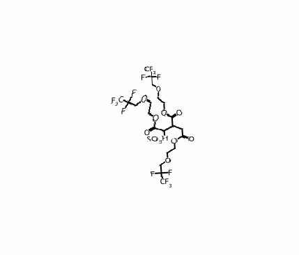 O=C(CC(C(=O)OCCOCC(F)(F)C(F)(F)F)C(C(=O)OCCOCC(F)(F)C(F)(F)F)S(=O)(=O)O)OCCOCC(F)(F)C(F)(F)F